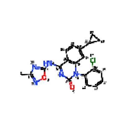 Cc1noc(Nc2nc(=O)n(-c3ccccc3Cl)c3cc(C4CC4)ccc23)n1